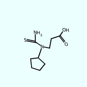 NC(=S)N(CCC(=O)O)C1CCCC1